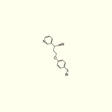 N#CC(CCOc1ccc(SBr)cc1)c1cccnc1